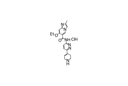 CCOc1cc2nc(C)cn2cc1C(=O)Nc1ccc(C2=CCNCC2)nn1.Cl